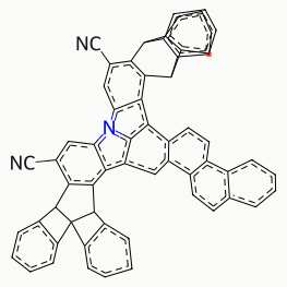 N#Cc1cc2c(c3c1C1c4ccccc4C3c3ccccc31)c1c3ccc4c5ccccc5ccc4c3cc3c4c5c(c(C#N)cc4n2c31)C1c2ccccc2C12c1ccccc1C52